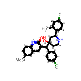 CSc1ccc2[nH]c(=O)c(C(c3ccc(Cl)cc3)C3(O)CCNC(c4ccc(F)cc4C)C3)cc2c1